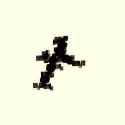 Cc1cc(C(=O)N[C@H]2CC[C@H](N(C)C)CC2)ccc1-c1ccc(C[C@H](NC(=O)C2CCC(CNC(=O)O)CC2)C(=O)Nc2ccc3c(=O)[nH][nH]c3c2)cc1.O=C(O)C(F)(F)F